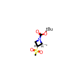 C[C@@H]1[C@H](S(C)(=O)=O)CN1C(=O)OC(C)(C)C